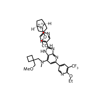 CCOc1ncc(-c2cc(N(C)CC3(COC)CCC3)c3[nH]c(-c4cnc(N5[C@@H]6CC[C@H]5C[C@@H](OCC(=O)O)C6)cn4)nc3n2)cc1C(F)(F)F